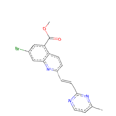 COC(=O)c1cc(Br)cc2nc(/C=C/c3nccc(C)n3)ccc12